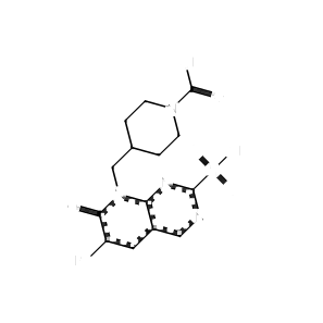 CS(=O)(=O)c1ncc2cc(Br)c(=O)n(CC3CCN(C(=O)O)CC3)c2n1